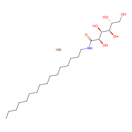 Br.CCCCCCCCCCCCCCCCNC(=O)[C@H](O)[C@@H](O)[C@H](O)[C@H](O)CO